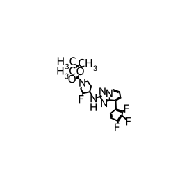 CC(C)(C)OC(=O)N1CCC(Nc2nc3c(-c4ccc(F)c(F)c4F)cccn3n2)C(F)C1